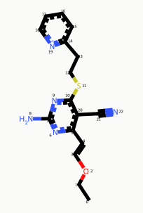 CCOC=Cc1nc(N)nc(SCCc2ccccn2)c1C#N